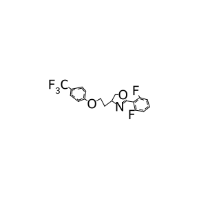 Fc1cccc(F)c1C1=NC(CCOc2ccc(C(F)(F)F)cc2)CO1